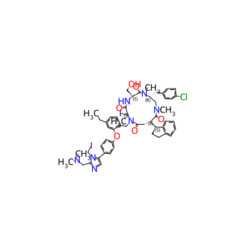 CCc1ccc(CN2C(=O)C[C@@H]([C@@H]3CCc4ccccc43)C(=O)N(C)C[C@@H](Cc3ccc(Cl)cc3)N(C)C(=O)[C@H](CO)NC(=O)[C@]2(C)I)c(Oc2ccc(-c3cnc(CN(C)C)n3CI)cc2)c1